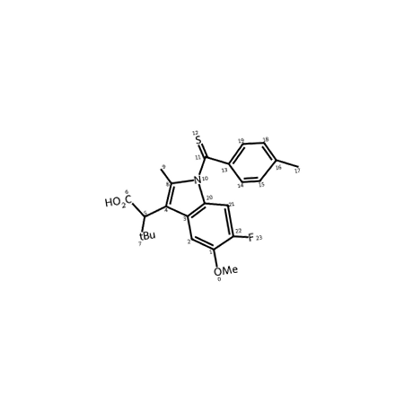 COc1cc2c(C(C(=O)O)C(C)(C)C)c(C)n(C(=S)c3ccc(C)cc3)c2cc1F